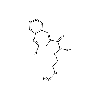 CCCN(OCCNC(=O)O)C(=O)C1=Cc2ccncc2N=C(N)C1